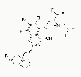 Oc1nc(OC[C@@]23CCCN2C[C@H](F)C3)nc2c(F)c(Br)c(Cl)c(OCC(NCC(F)F)C(F)F)c12